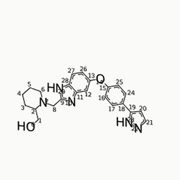 OCC1CCCCN1Cc1nc2cc(Oc3ccc(-c4ccn[nH]4)cc3)ccc2[nH]1